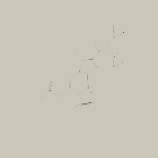 CCn1c(C(=O)N(C2CC2)C2CC2)cc2c3ncnc-3c(NC(N)=S)n(C)c21